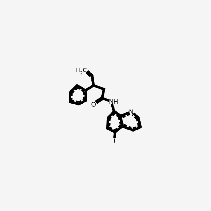 C=CC(CC(=O)Nc1ccc(I)c2cccnc12)c1ccccc1